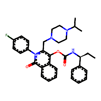 CC[C@H](NC(=O)Oc1c(CN2CCN(C(C)C)CC2)n(-c2ccc(F)cc2)c(=O)c2ccccc12)c1ccccc1